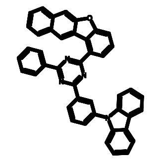 c1ccc(-c2nc(-c3cccc(-n4c5ccccc5c5ccccc54)c3)nc(-c3cccc4oc5cc6ccccc6cc5c34)n2)cc1